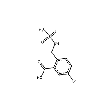 CS(=O)(=O)NCc1ccc(Br)cc1C(=O)O